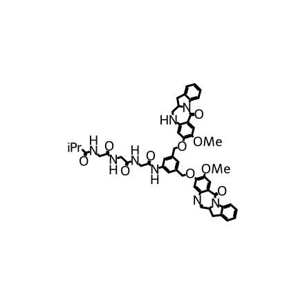 COc1cc2c(cc1OCc1cc(COc3cc4c(cc3OC)C(=O)N3c5ccccc5CC3CN4)cc(NC(=O)CNC(=O)CNC(=O)CNC(=O)C(C)C)c1)N=CC1Cc3ccccc3N1C2=O